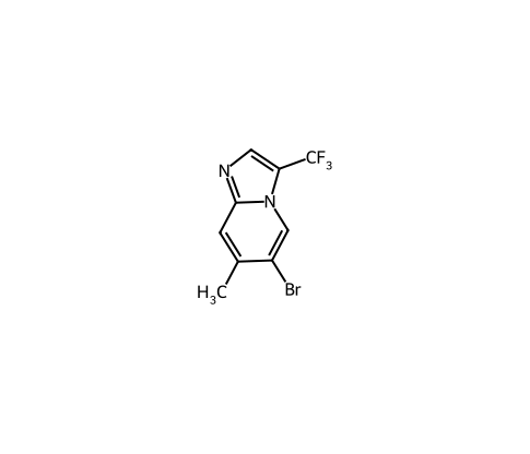 Cc1cc2ncc(C(F)(F)F)n2cc1Br